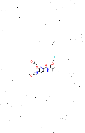 COC1CN(c2ccc(C(=O)NC(COCCF)C(C)C)nc2OCC2COC2)C1